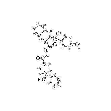 COc1ccc(S(=O)(=O)N2Cc3ccccc3CC2COCC(=O)N2CCC(O)(c3cccnc3)CC2)cc1